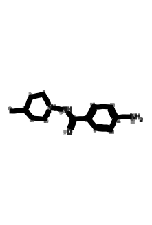 CC1CCN(NC(=O)c2ccc(N)cc2)CC1